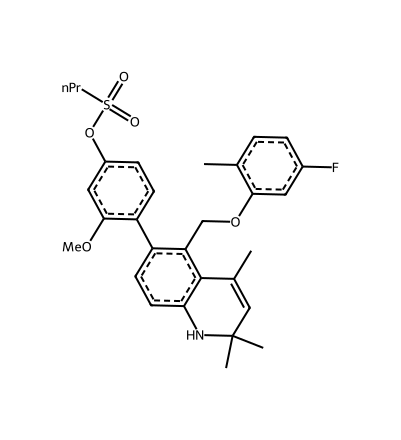 CCCS(=O)(=O)Oc1ccc(-c2ccc3c(c2COc2cc(F)ccc2C)C(C)=CC(C)(C)N3)c(OC)c1